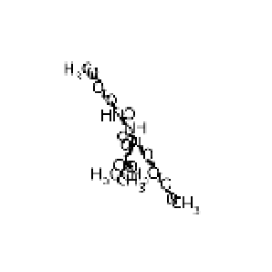 COCCOCCOCCNC(=O)CNC(=O)CN(CCOCCOCCOCCOC)C(=O)CCC(=O)OC(C)(C)C